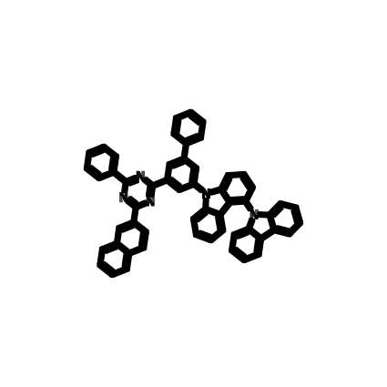 c1ccc(-c2cc(-c3nc(-c4ccccc4)nc(-c4ccc5ccccc5c4)n3)cc(-n3c4ccccc4c4c(-n5c6ccccc6c6ccccc65)cccc43)c2)cc1